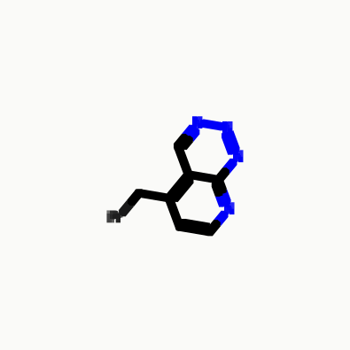 CC(C)Cc1ccnc2nnncc12